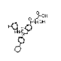 O=C(NC[C@@H](O)C(=O)O)c1ccc(CN(C(=O)Nc2cccc(I)c2)c2ccc(C3CCCCC3)cc2)cc1